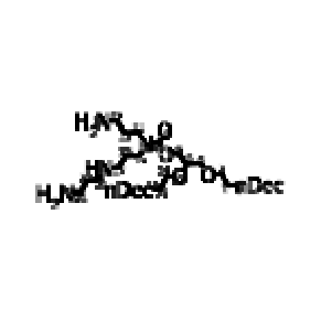 CCCCCCCCCCCCOCC(COC(=O)N(CCCN)CCCNCCCN)OCCCCCCCCCCCC